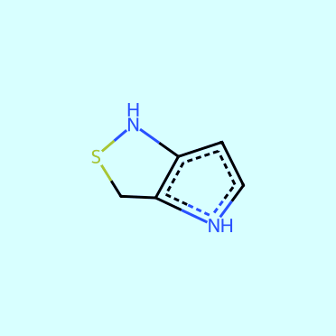 c1cc2c([nH]1)CSN2